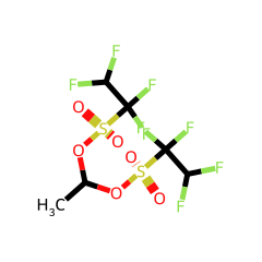 CC(OS(=O)(=O)C(F)(F)C(F)F)OS(=O)(=O)C(F)(F)C(F)F